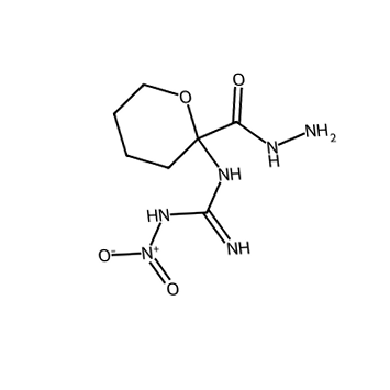 N=C(N[N+](=O)[O-])NC1(C(=O)NN)CCCCO1